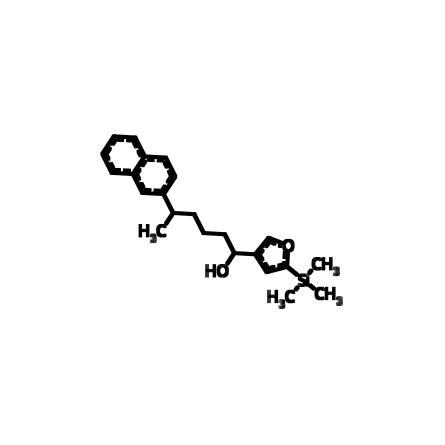 CC(CCCC(O)c1coc([Si](C)(C)C)c1)c1ccc2ccccc2c1